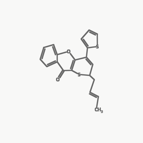 CC=CCC1C=C(c2cccs2)c2oc3ccccc3c(=O)c2S1